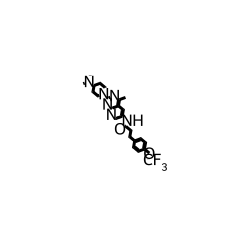 Cc1nc(N2CCC(N(C)C)CC2)nc2ncc(NC(=O)CCc3ccc(OC(F)(F)F)cc3)cc12